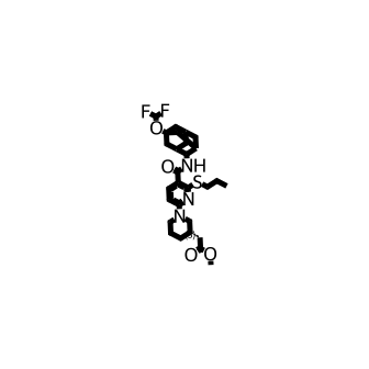 CCCSc1nc(N2CCC[C@@H](CC(=O)OC)C2)ccc1C(=O)NC1C2CC3CC1CC(OC(F)F)(C3)C2